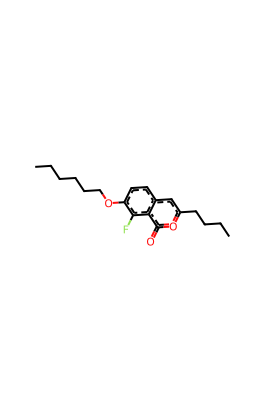 CCCCCCOc1ccc2cc(CCCC)oc(=O)c2c1F